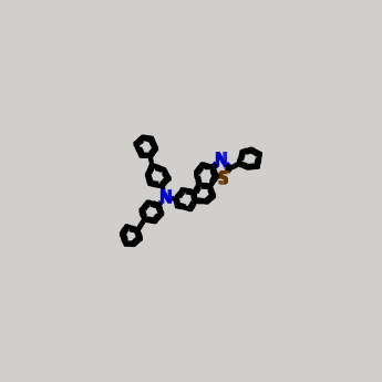 c1ccc(-c2ccc(N(c3ccc(-c4ccccc4)cc3)c3ccc4ccc5c(ccc6nc(-c7ccccc7)sc65)c4c3)cc2)cc1